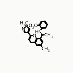 Cc1cc2c(c(C(C)Nc3ccccc3C(=O)O)c1)OC(c1cnn(C)c1)=CC2